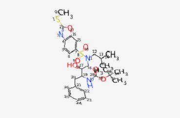 CSc1nc2ccc(S(=O)(=O)N(CC(C)C)CC(O)C(Cc3ccccc3)NC(=O)OC(C)(C)C)cc2o1